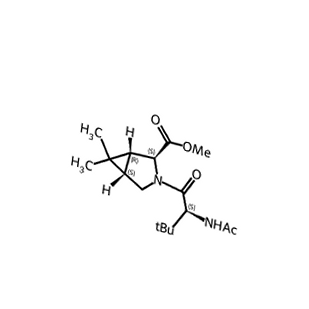 COC(=O)[C@@H]1[C@@H]2[C@H](CN1C(=O)[C@@H](NC(C)=O)C(C)(C)C)C2(C)C